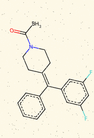 BC(=O)N1CCC(=C(c2ccccc2)c2cc(F)cc(F)c2)CC1